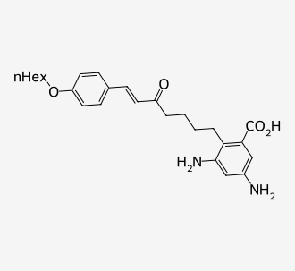 CCCCCCOc1ccc(/C=C/C(=O)CCCCc2c(N)cc(N)cc2C(=O)O)cc1